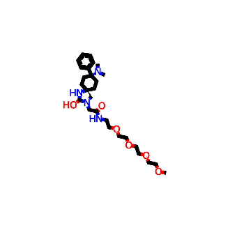 COCCOCCOCCOCCNC(=O)CN1C[C@]2(CC[C@](c3ccccc3)(N(C)C)CC2)NC1O